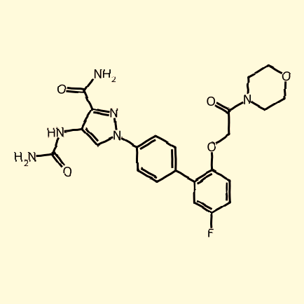 NC(=O)Nc1cn(-c2ccc(-c3cc(F)ccc3OCC(=O)N3CCOCC3)cc2)nc1C(N)=O